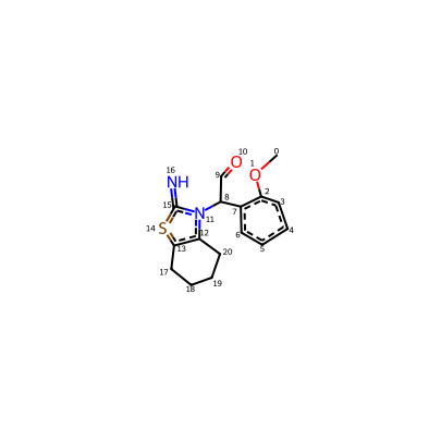 COc1ccccc1C(C=O)n1c2c(sc1=N)CCCC2